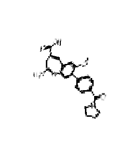 COc1cc2c(cc1-c1ccc(C(=O)N3CCCC3)cc1)N=C(N)CC(C(=O)O)=C2